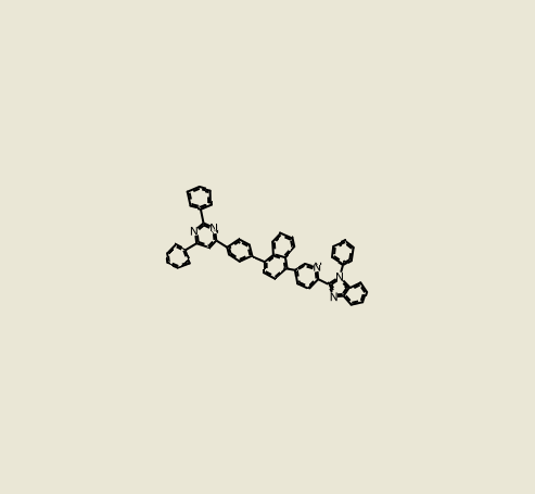 c1ccc(-c2cc(-c3ccc(-c4ccc(-c5ccc(-c6nc7ccccc7n6-c6ccccc6)nc5)c5ccccc45)cc3)nc(-c3ccccc3)n2)cc1